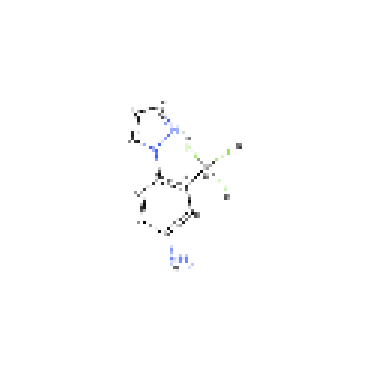 Nc1ccc(-n2cccn2)c(C(F)(F)F)c1